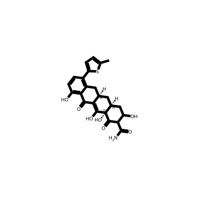 Cc1ccc(-c2ccc(O)c3c2C[C@H]2C[C@H]4CC(O)C(C(N)=O)C(=O)[C@@]4(O)C(O)=C2C3=O)s1